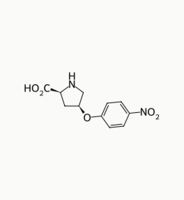 O=C(O)[C@@H]1C[C@H](Oc2ccc([N+](=O)[O-])cc2)CN1